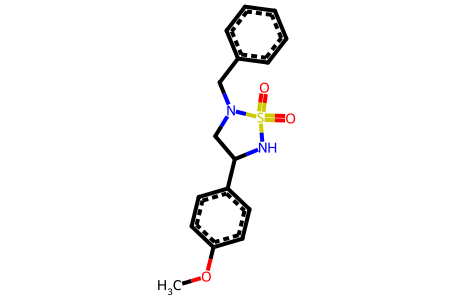 COc1ccc(C2CN(Cc3ccccc3)S(=O)(=O)N2)cc1